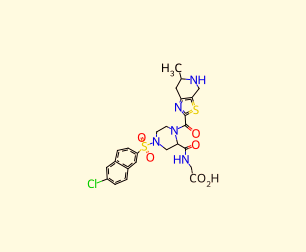 CC1Cc2nc(C(=O)N3CCN(S(=O)(=O)c4ccc5cc(Cl)ccc5c4)CC3C(=O)NCC(=O)O)sc2CN1